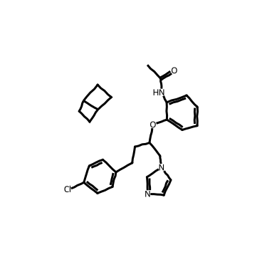 C1CC2CCC12.CC(=O)Nc1ccccc1OC(CCc1ccc(Cl)cc1)Cn1ccnc1